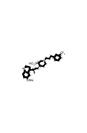 COc1ccc2nccc([C@H](F)CC[C@@H]3CCN(CCCc4cccc(C(F)(F)F)c4)C[C@@H]3C(=O)O)c2c1